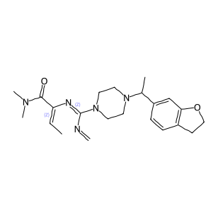 C=N/C(=N\C(=C/C)C(=O)N(C)C)N1CCN(C(C)c2ccc3c(c2)OCC3)CC1